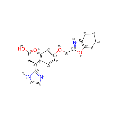 Cn1ccnc1[C@@H](CC(=O)O)c1ccc(OCc2nc3c(o2)CCCC3)cc1